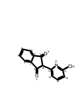 O=C1c2ccccc2C(=O)C1c1cccc(Cl)n1